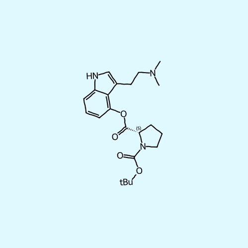 CN(C)CCc1c[nH]c2cccc(OC(=O)[C@@H]3CCCN3C(=O)OC(C)(C)C)c12